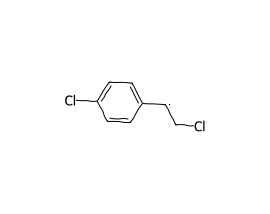 ClC[CH]c1ccc(Cl)cc1